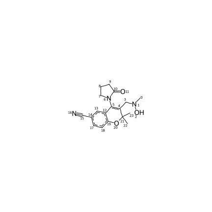 CN(O)CC1=C(N2CCCC2=O)c2cc(C#N)ccc2OC1(C)C